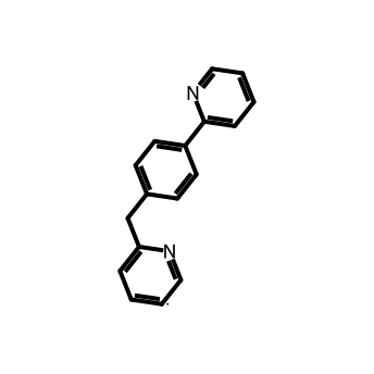 [c]1ccc(Cc2ccc(-c3ccccn3)cc2)nc1